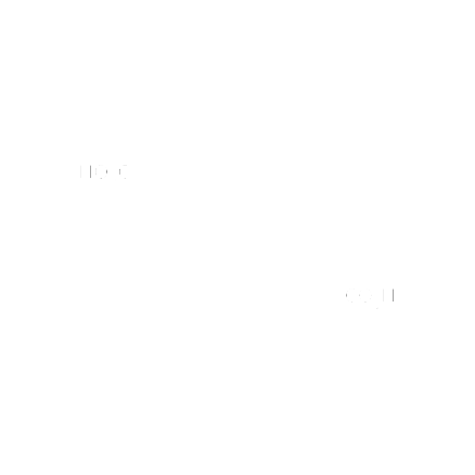 O=C(O)CCC#CCCCCC(=O)O